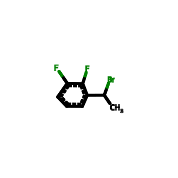 CC(Br)c1cccc(F)c1F